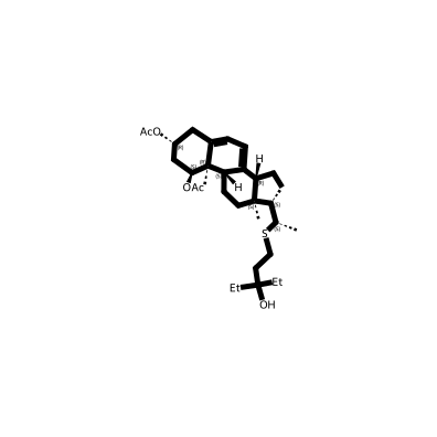 CCC(O)(CC)CCS[C@@H](C)[C@H]1CC[C@H]2C3=CC=C4C[C@@H](OC(C)=O)C[C@H](OC(C)=O)[C@]4(C)[C@H]3CC[C@]12C